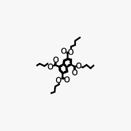 CCCCOC(=O)c1cc(C(=O)OCCCC)c2cc(C(=O)OCCCC)cc(C(=O)OCCCC)c2c1